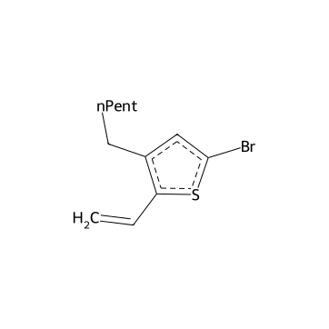 C=Cc1sc(Br)cc1CCCCCC